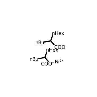 CCCCCCC(CCCC)C(=O)[O-].CCCCCCC(CCCC)C(=O)[O-].[Ni+2]